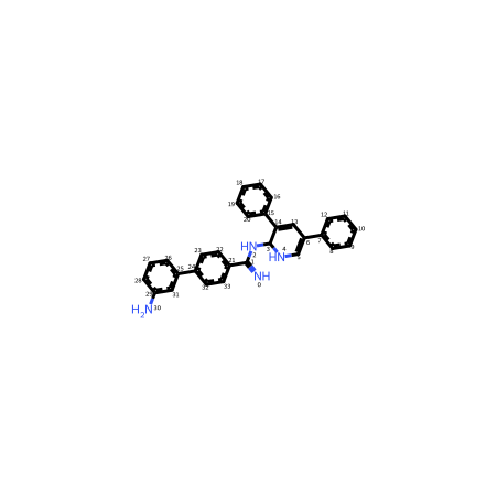 N=C(NC1NC=C(c2ccccc2)C=C1c1ccccc1)c1ccc(-c2cccc(N)c2)cc1